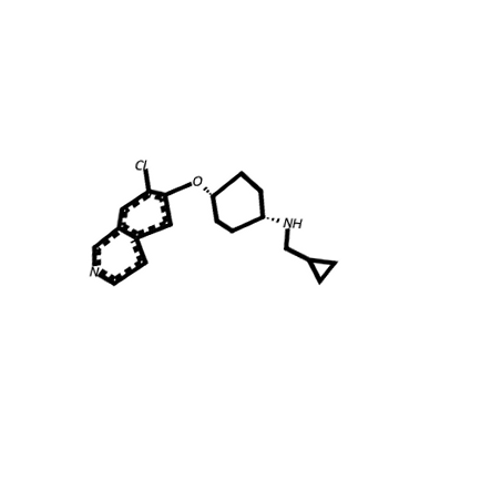 Clc1cc2cnccc2cc1O[C@H]1CC[C@@H](NCC2CC2)CC1